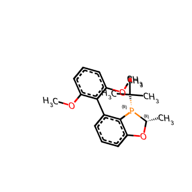 COc1cccc(OC)c1-c1cccc2c1[P@](C(C)(C)C)[C@H](C)O2